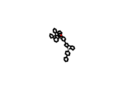 c1ccc(-c2ccc(-n3c4ccccc4c4cc(-c5ccc6c7ccccc7n(-c7ccccc7C7(c8ccccc8)c8ccccc8-c8ccccc87)c6c5)ccc43)cc2)cc1